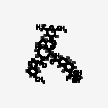 Cc1ccc2onc(C(=O)N3CC[C@H]4CC[C@@H](C(=O)N5C[C@@H](C)O[C@@H](C)C5)N4C(=O)[C@@H](NC(=O)c4ccc5ccc(C(F)P(=O)(O)O)cc5c4)C3)c2c1